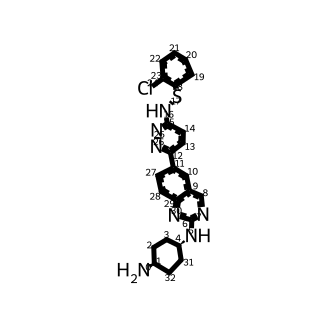 N[C@H]1CC[C@H](Nc2ncc3cc(-c4ccc(NSc5ccccc5Cl)nn4)ccc3n2)CC1